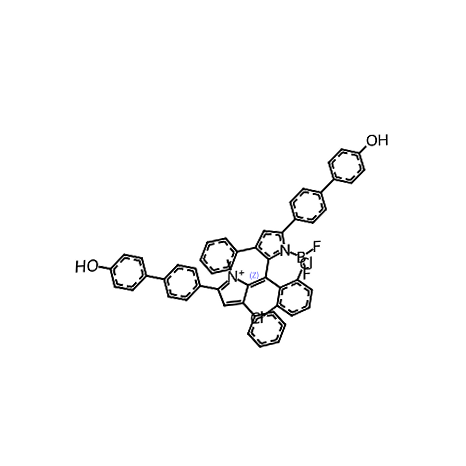 C[N+]1=C(c2ccc(-c3ccc(O)cc3)cc2)C=C(c2ccccc2)/C1=C(\c1c(Cl)cccc1Cl)c1c(-c2ccccc2)cc(-c2ccc(-c3ccc(O)cc3)cc2)n1B(F)F